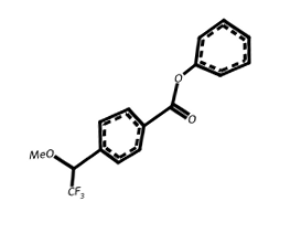 COC(c1ccc(C(=O)Oc2ccccc2)cc1)C(F)(F)F